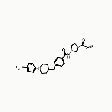 CC(C)(C)OC(=O)N1CC[C@@H](NC(=O)c2ccc(CC3CCN(c4ccc(C(F)(F)F)cc4)CC3)cn2)C1